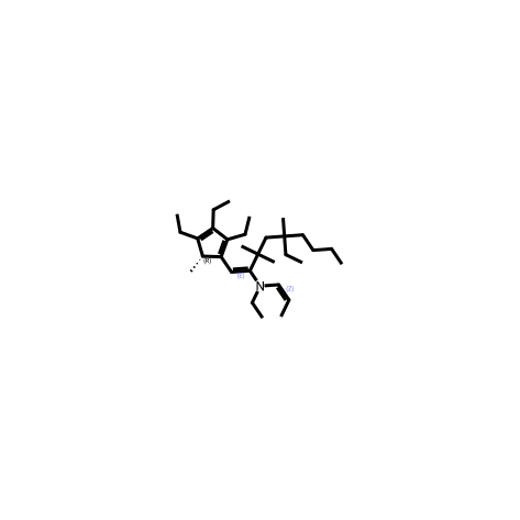 C/C=C\N(CC)/C(=C/C1=C(CC)C(CC)=C(CC)[C@H]1C)C(C)(C)CC(C)(CC)CCCC